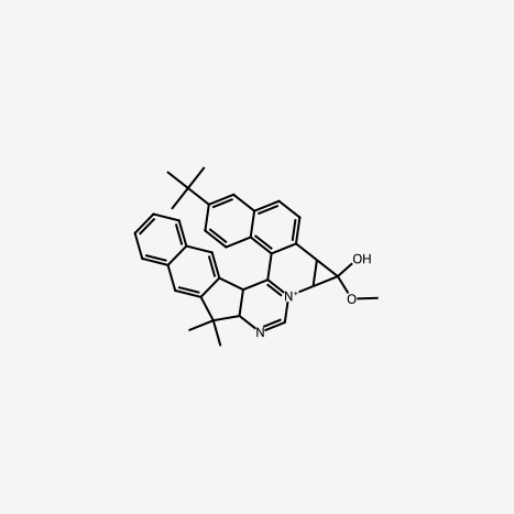 COC1(O)C2c3ccc4cc(C(C)(C)C)ccc4c3C3=[N+](C=NC4C3c3cc5ccccc5cc3C4(C)C)C21